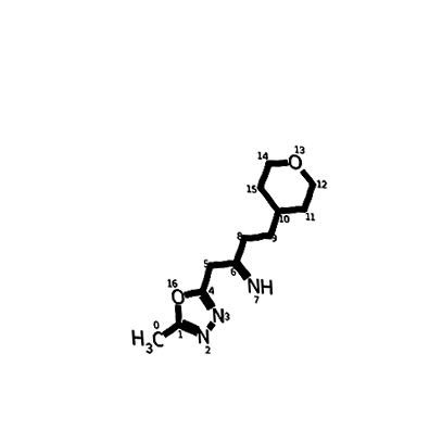 Cc1nnc(CC(=N)CCC2CCOCC2)o1